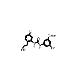 COc1cc(Br)cc(NC(=O)Nc2cc(Cl)ccc2CCO)c1